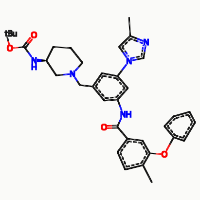 Cc1cn(-c2cc(CN3CCC[C@H](NC(=O)OC(C)(C)C)C3)cc(NC(=O)c3ccc(C)c(Oc4ccccc4)c3)c2)cn1